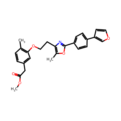 COC(=O)Cc1ccc(C)c(OCCc2nc(-c3ccc(-c4ccoc4)cc3)oc2C)c1